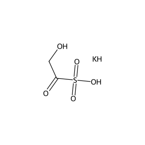 O=C(CO)S(=O)(=O)O.[KH]